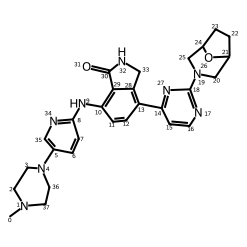 CN1CCN(c2ccc(Nc3ccc(-c4ccnc(N5CC6CCC(C5)O6)n4)c4c3C(=O)NC4)nc2)CC1